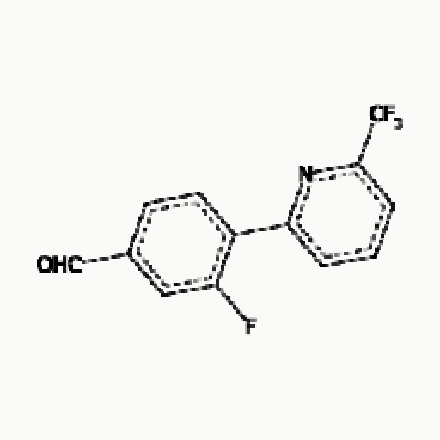 O=Cc1ccc(-c2cccc(C(F)(F)F)n2)c(F)c1